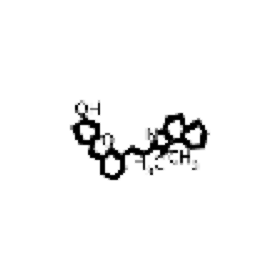 CC1(C)C(C=CC2=C3Oc4cc(O)ccc4C=C3CCC2)=Nc2ccc3ccccc3c21